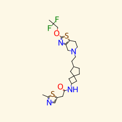 Cc1ncc(CC(=O)NC2CC3(CCC(CCN4CCc5sc(OCC(C)(F)F)nc5C4)C3)C2)s1